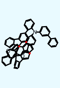 c1ccc(-c2cccc(N(c3ccc(-c4ccc5c(c4)C4(c6ccccc6Oc6ccccc64)c4ccccc4-5)cc3)c3ccccc3-c3ccc4c(c3)-c3ccccc3C43c4ccccc4Oc4ccccc43)c2)cc1